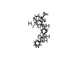 Nc1nccn2c(C3CC3)nc(C(=O)Nc3ccc(NC(=O)Nc4cccnc4)cc3)c12